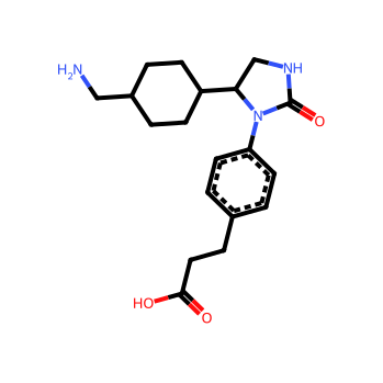 NCC1CCC(C2CNC(=O)N2c2ccc(CCC(=O)O)cc2)CC1